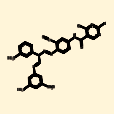 [O]=[Co][c]1cc(NC(=O)c2cnc(Cl)nc2Cl)ccc1/N=N/C(/N=N/c1cc(S(=O)(=O)O)cc(S(=O)(=O)O)c1)c1cccc(S(=O)(=O)O)c1